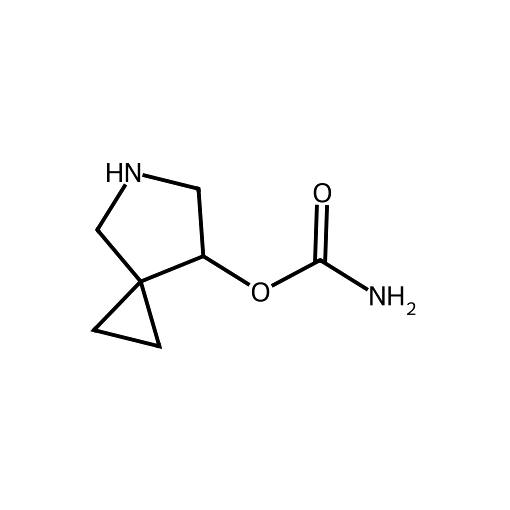 NC(=O)OC1CNCC12CC2